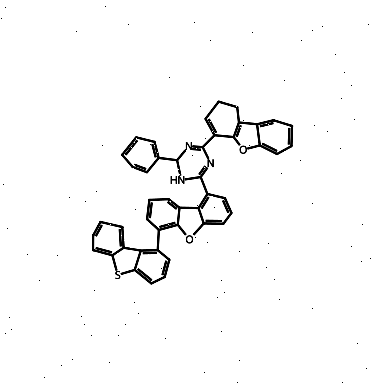 C1=C(C2=NC(c3ccccc3)NC(c3cccc4oc5c(-c6cccc7sc8ccccc8c67)cccc5c34)=N2)c2oc3ccccc3c2CC1